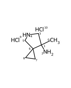 CC1(N)CNCC12CC2.Cl.Cl